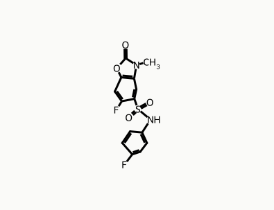 Cn1c(=O)oc2cc(F)c(S(=O)(=O)Nc3ccc(F)cc3)cc21